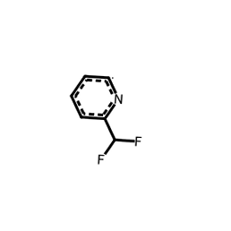 FC(F)c1ccc[c]n1